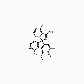 CCn1cc(C2(c3ccnc(Br)c3)N=C(N)c3c(F)cccc32)cc(C)c1=O